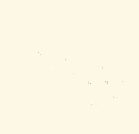 Cc1nc(N2CC(F)(F)C2)ccc1NC(=O)N1CCN(c2nc(N)nc3scnc23)[C@@H](C)C1